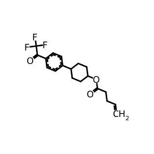 C=CCCC(=O)OC1CCC(c2ccc(C(=O)C(F)(F)F)cc2)CC1